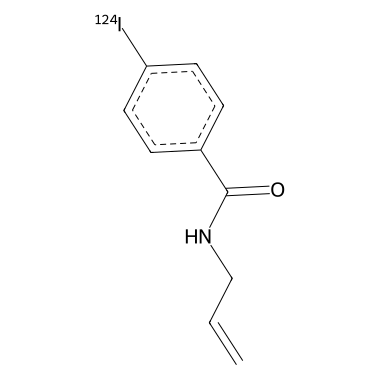 C=CCNC(=O)c1ccc([124I])cc1